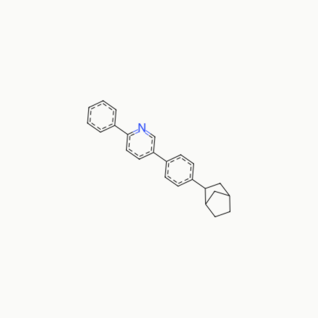 c1ccc(-c2ccc(-c3ccc(C4CC5CCC4C5)cc3)cn2)cc1